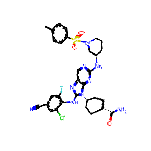 Cc1ccc(S(=O)(=O)N2CCC[C@@H](Nc3ncc4nc(Nc5c(F)cc(C#N)cc5Cl)n([C@H]5CC[C@@H](C(N)=O)CC5)c4n3)C2)cc1